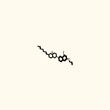 C=CCOc1cc(F)c2cc([C@@H]3CC[C@@H]4CC(CCCCCCC)CCC4C3)ccc2c1